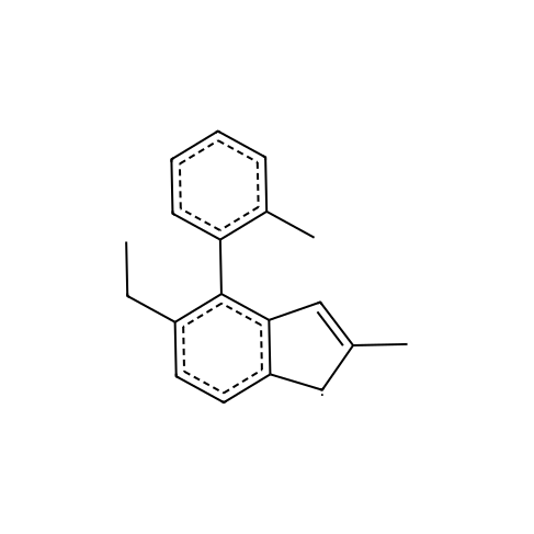 CCc1ccc2c(c1-c1ccccc1C)C=C(C)[CH]2